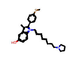 CSc1ccc(-c2c(C)c3cc(O)ccc3n2CCCCCCCCN2CCCC2)cc1